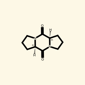 O=C1[C@H]2CCCN2C(=O)[C@H]2CCCN12